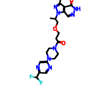 Cc1nn(C(C)COCCC(=O)N2CCN(c3cnc(C(F)F)cn3)CC2)c2cn[nH]c(=O)c12